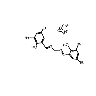 CC(=O)[O-].CC(=O)[O-].CCc1cc(C=NCN=Cc2cc(CC)cc(C(C)C)c2O)c(O)c(C(C)C)c1.[Co+2]